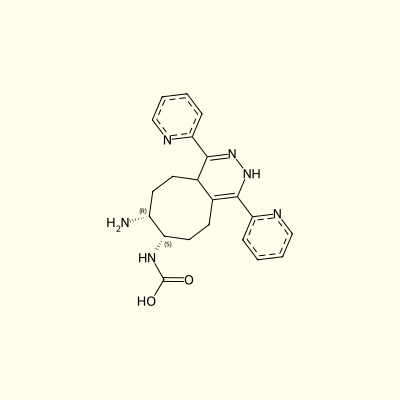 N[C@@H]1CCC2C(c3ccccn3)=NNC(c3ccccn3)=C2CC[C@@H]1NC(=O)O